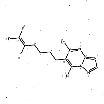 CCc1nc2ncnn2c(N)c1CCCCC(F)=C(F)F